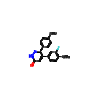 COc1ccc(-c2n[nH]c(=O)cc2-c2ccc(OC)c(F)c2)cc1